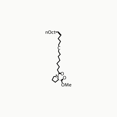 CCCCCCCC/C=C\CCCCCCCCCCCC(=O)N1CCC[C@H]1C(=O)OC